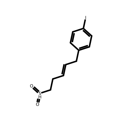 O=[SH](=O)CCC=CCc1ccc(I)cc1